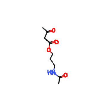 CC(=O)CC(=O)OCCCNC(C)=O